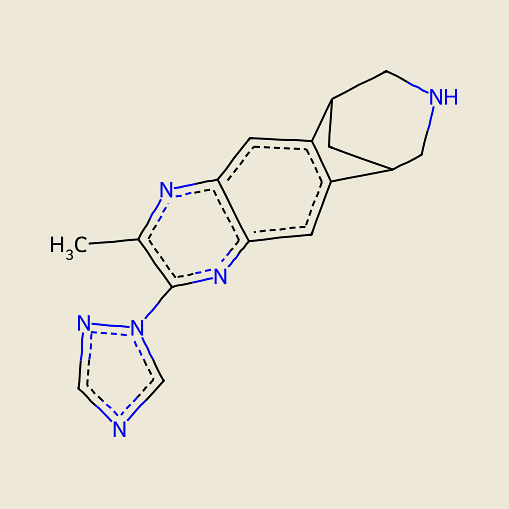 Cc1nc2cc3c(cc2nc1-n1cncn1)C1CNCC3C1